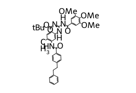 COc1cc(C(=O)N/C(=N/C(=O)OC(C)(C)C)Nc2ccc(C)c(NC(=O)c3ccc(CCc4ccccc4)cc3)c2)cc(OC)c1OC